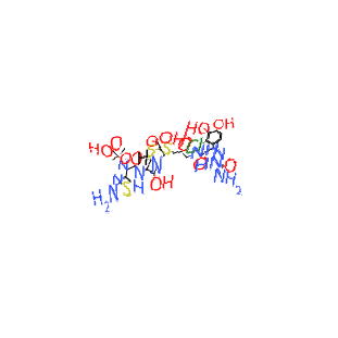 CO[C@@H](CNC(=O)/C(=N\NC(N)=O)c1ccc(O)c(O)c1Cl)CSC1(C(=O)O)CN2C(O)C(NC(=O)/C(=N\OC(C)(C)C(=O)O)c3csc(N)n3)[C@H]2S1